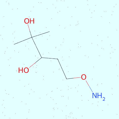 CC(C)(O)C(O)CCON